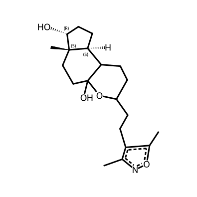 Cc1noc(C)c1CCC1CCC2[C@@H]3CC[C@@H](O)[C@@]3(C)CCC2(O)O1